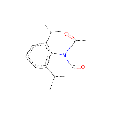 CC(=O)N(C=O)c1c(C(C)C)cccc1C(C)C